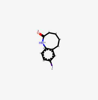 O=C1CCCCc2cc(I)ccc2N1